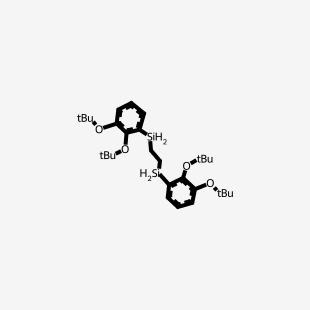 CC(C)(C)Oc1cccc([SiH2]CC[SiH2]c2cccc(OC(C)(C)C)c2OC(C)(C)C)c1OC(C)(C)C